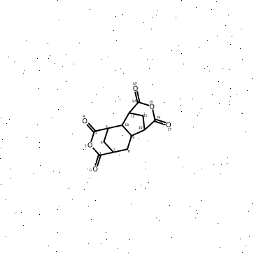 O=C1OC(=O)C2CC1CC1C3CC(C(=O)OC3=O)C21